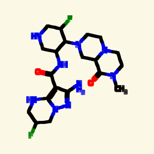 CN1CCN2CCN(C3C(F)CNCC3NC(=O)c3c(N)nn4c3NCC(F)C4)CC2C1=O